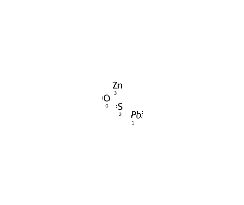 [O].[Pb].[S].[Zn]